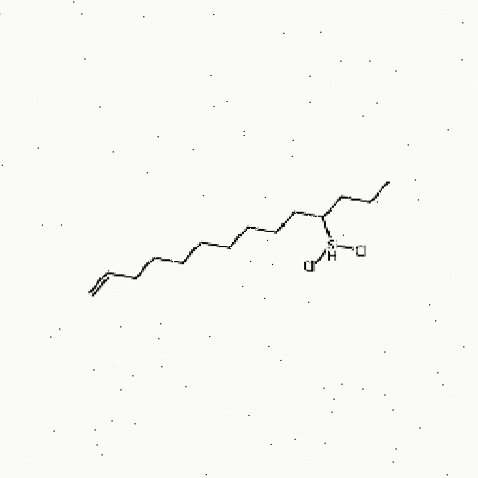 C=CCCCCCCCCC(CCC)[SiH](Cl)Cl